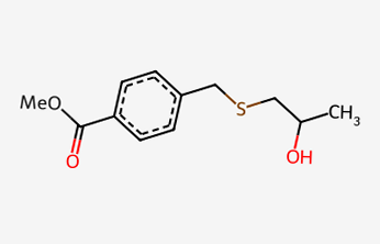 COC(=O)c1ccc(CSCC(C)O)cc1